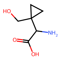 NC(C(=O)O)C1(CO)CC1